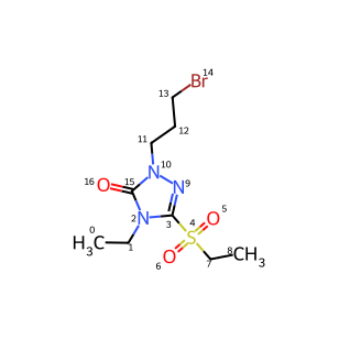 CCn1c(S(=O)(=O)CC)nn(CCCBr)c1=O